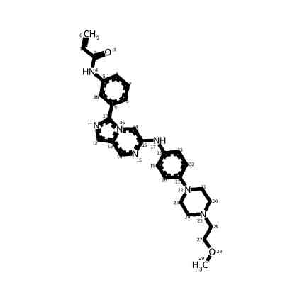 C=CC(=O)Nc1cccc(-c2ncc3cnc(Nc4ccc(N5CCN(CCOC)CC5)cc4)cn23)c1